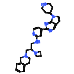 c1ccc2c(c1)CCN(CC(CNc1cc(-c3ncc4ccn(C5CCNCC5)c4n3)ccn1)N1CCC1)C2